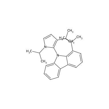 CC(C)c1ccn(C(C)C)c1-n1c2ccccc2c2cccc(C(C)C)c21